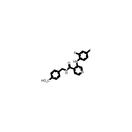 O=C(O)c1ccc(CNC(=O)c2ccncc2Nc2ccc(I)cc2F)cc1